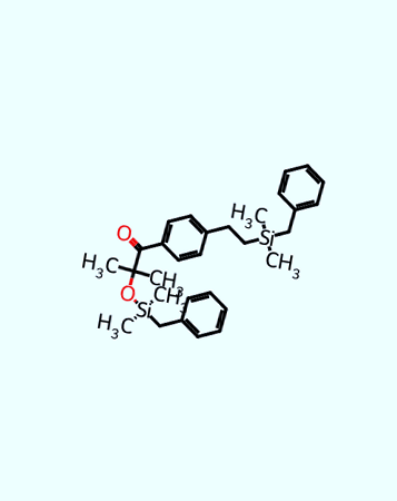 CC(C)(O[Si](C)(C)Cc1ccccc1)C(=O)c1ccc(CC[Si](C)(C)Cc2ccccc2)cc1